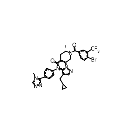 C[C@H]1Cc2c(n3ncc(CC4CC4)c3n(-c3ccc(-c4nncn4C)cc3)c2=O)CN1C(=O)c1ccc(Br)c(C(F)(F)F)c1